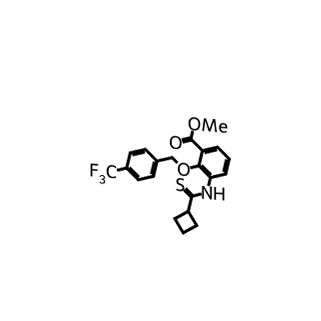 COC(=O)c1cccc(NC(=S)C2CCC2)c1OCc1ccc(C(F)(F)F)cc1